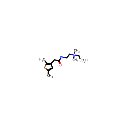 Cc1cc(CC(=O)NCC[N+](C)(C)CC(=O)O)c(C)s1